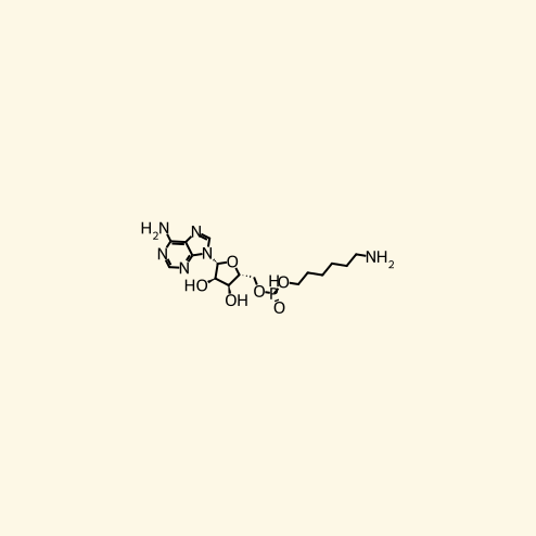 NCCCCCCO[PH](=O)OC[C@H]1O[C@@H](n2cnc3c(N)ncnc32)[C@H](O)[C@@H]1O